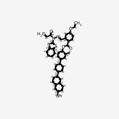 C=COc1ccc(C(=O)Oc2ccc(-c3ccc(-c4ccc5cc(CCC)ccc5c4)cc3)cc2F)c(/C=N/N(C(=O)C=C)c2nc3ccccc3s2)c1